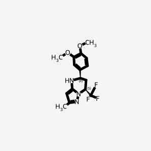 COc1ccc([C@H]2C[C@@H](C(F)(F)F)n3nc(C)cc3N2)cc1OC